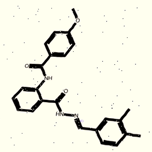 COc1ccc(C(=O)Nc2ccccc2C(=O)N/N=C/c2ccc(C)c(C)c2)cc1